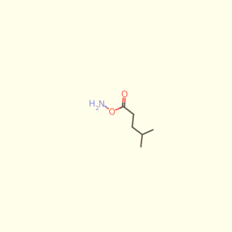 CC(C)CCC(=O)ON